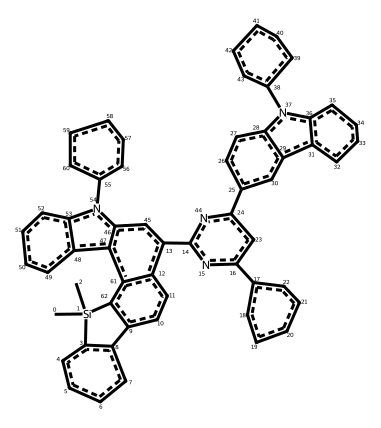 C[Si]1(C)c2ccccc2-c2ccc3c(-c4nc(-c5ccccc5)cc(-c5ccc6c(c5)c5ccccc5n6-c5ccccc5)n4)cc4c(c5ccccc5n4-c4ccccc4)c3c21